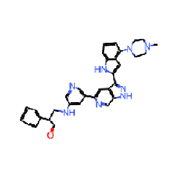 CN1CCN(c2cccc3[nH]c(-c4n[nH]c5cnc(-c6cncc(NCC(C=O)c7ccccc7)c6)cc45)cc23)CC1